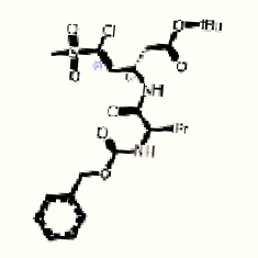 CC(C)C(NC(=O)OCc1ccccc1)C(=O)N[C@H](/C=C(\Cl)S(C)(=O)=O)CC(=O)OC(C)(C)C